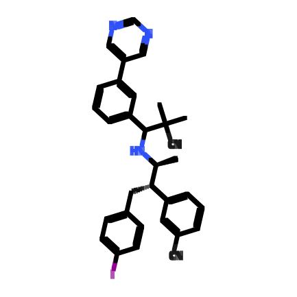 C[C@H](NC(c1cccc(-c2cncnc2)c1)C(C)(C)C#N)[C@@H](Cc1ccc(I)cc1)c1cccc(C#N)c1